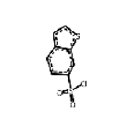 O=S(=O)(Cl)c1ccc2ccsc2c1